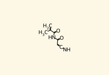 C=C(C)C(=O)NC(=O)C=C=N